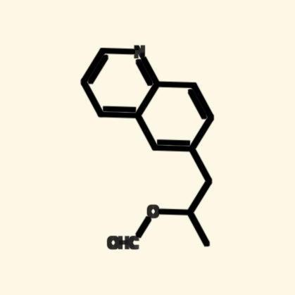 CC(Cc1ccc2ncccc2c1)OC=O